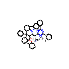 C=C1/C(=C(\C=C/C)c2nc(-c3ccccc3)nc(-c3ccccc3)n2)n2c3ccccc3c3cccc(c32)[C@@]1(c1ccccc1)c1cccc2c1oc1ccccc12